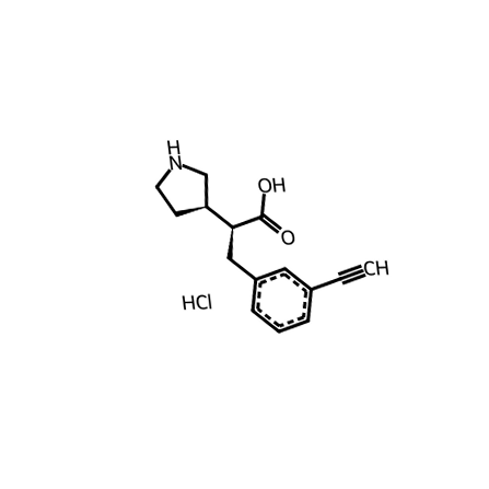 C#Cc1cccc(C[C@H](C(=O)O)[C@H]2CCNC2)c1.Cl